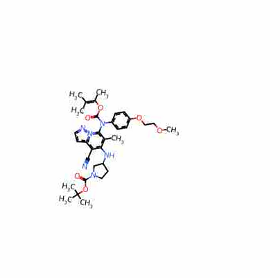 COCCOc1ccc(N(C(=O)OC(C)=C(C)C)c2c(C)c(N[C@H]3CCN(C(=O)OC(C)(C)C)C3)c(C#N)c3ccnn23)cc1